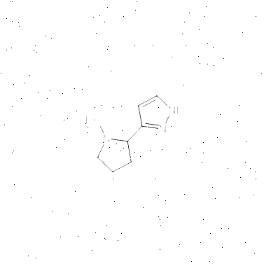 CN1CCCC1c1c[c][nH]n1